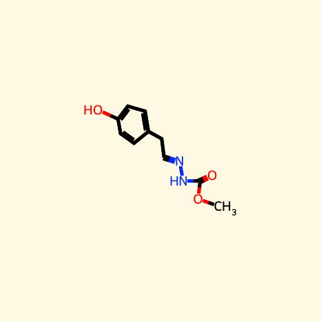 COC(=O)NN=CCc1ccc(O)cc1